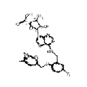 Cc1cc(COc2ccc(Cl)cc2CNc2ncnc3c2ncn3[C@H]2O[C@H](C(=O)O)[C@@H](N)[C@H]2O)on1